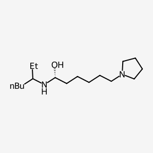 CCCCC(CC)N[C@H](O)CCCCCN1CCCC1